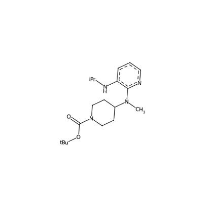 CC(C)Nc1cccnc1N(C)C1CCN(C(=O)OC(C)(C)C)CC1